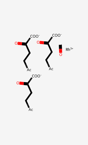 CC(=O)CCC(=O)C(=O)[O-].CC(=O)CCC(=O)C(=O)[O-].CC(=O)CCC(=O)C(=O)[O-].[C]=O.[Rh+3]